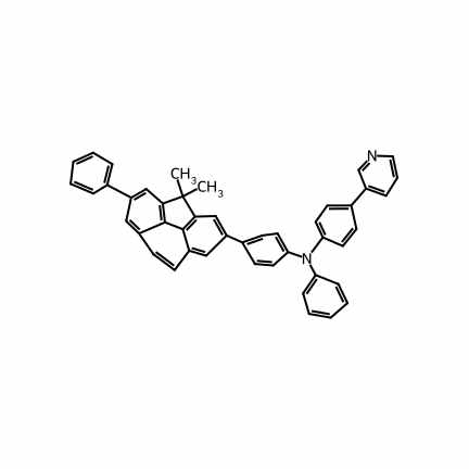 CC1(C)c2cc(-c3ccccc3)cc3ccc4cc(-c5ccc(N(c6ccccc6)c6ccc(-c7cccnc7)cc6)cc5)cc1c4c23